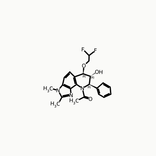 CC(=O)N1c2c(ccc3c2nc(C)n3C)[C@@H](OCC(F)F)[C@H](O)[C@H]1c1ccccc1